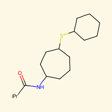 CC(C)C(=O)NC1CCCC(SC2CCCCC2)CC1